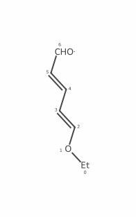 CCOC=CC=C[C]=O